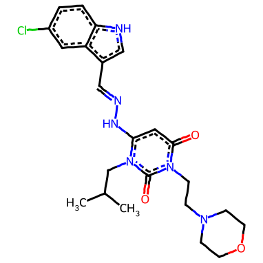 CC(C)Cn1c(NN=Cc2c[nH]c3ccc(Cl)cc23)cc(=O)n(CCN2CCOCC2)c1=O